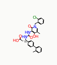 Cc1ccccc1-c1ccc([C@H](CC(=O)O)NC(=O)Nc2c(O)c(C)cn(Cc3ccccc3Cl)c2=O)cc1